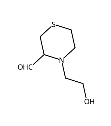 O=[C]C1CSCCN1CCO